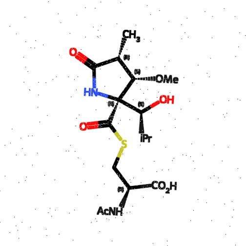 CO[C@H]1[C@@H](C)C(=O)N[C@]1(C(=O)SC[C@H](NC(C)=O)C(=O)O)[C@@H](O)C(C)C